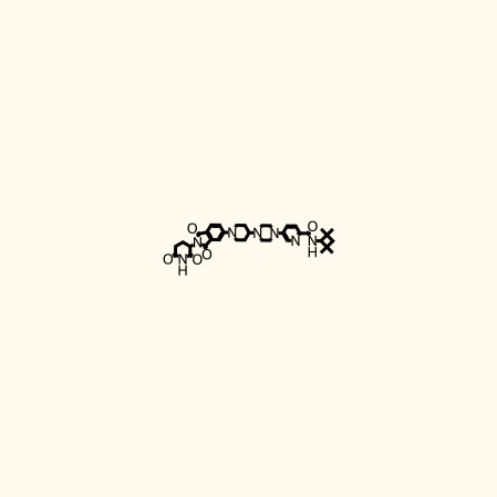 CC1(C)CC(C)(C)C1NC(=O)c1ccc(N2CCN(C3CCN(c4ccc5c(c4)C(=O)N(C4CCC(=O)NC4=O)C5=O)CC3)CC2)cn1